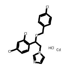 Cl.Clc1ccc(COC(Cn2ccnc2)c2ccc(Cl)cc2Cl)cc1.[Cd]